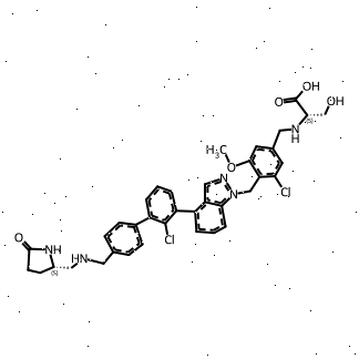 COc1cc(CN[C@@H](CO)C(=O)O)cc(Cl)c1Cn1ncc2c(-c3cccc(-c4ccc(CNC[C@@H]5CCC(=O)N5)cc4)c3Cl)cccc21